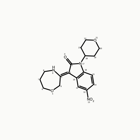 O=C1/C(=C2/COCCCN2)c2cc([N+](=O)[O-])ccc2N1C1CCOCC1